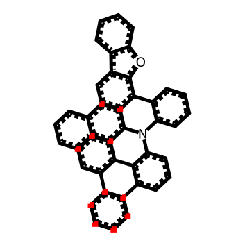 c1ccc(-c2ccccc2-c2c(-c3ccccc3)cccc2N(c2ccc3ccccc3c2)c2ccccc2-c2cccc3c2oc2ccccc23)cc1